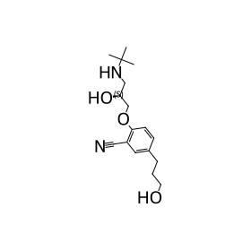 CC(C)(C)NC[C@H](O)COc1ccc(CCCO)cc1C#N